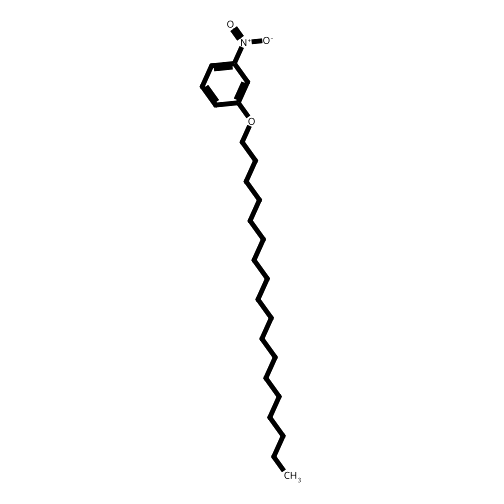 CCCCCCCCCCCCCCCCCCOc1cccc([N+](=O)[O-])c1